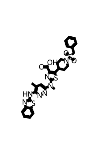 Cc1cc(N(C)c2nc(C(=O)O)c(C3CCN(S(=O)(=O)Cc4ccccc4)CC3)s2)nnc1Nc1nc2ccccc2s1